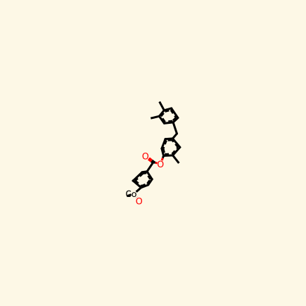 Cc1ccc(Cc2ccc(OC(=O)c3cc[c]([Co]([CH3])=[O])cc3)c(C)c2)cc1C